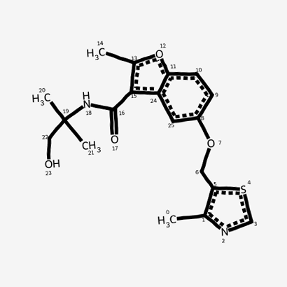 Cc1ncsc1COc1ccc2oc(C)c(C(=O)NC(C)(C)CO)c2c1